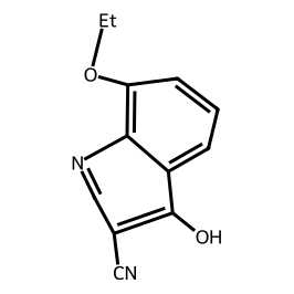 CCOc1cccc2c(O)c(C#N)cnc12